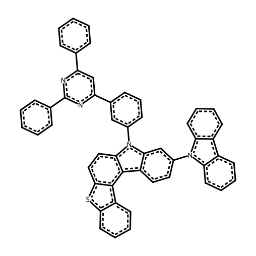 c1ccc(-c2cc(-c3cccc(-n4c5cc(-n6c7ccccc7c7ccccc76)ccc5c5c6c(ccc54)sc4ccccc46)c3)nc(-c3ccccc3)n2)cc1